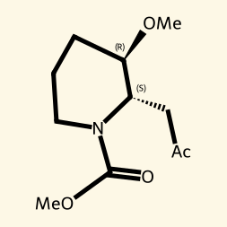 COC(=O)N1CCC[C@@H](OC)[C@@H]1CC(C)=O